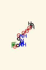 O=C(NCCOCCOCCOC[C@H]1C[C@H]2C=C[C@@H]1C2)c1cccc(-c2cc(Nc3ccc(OC(F)(F)F)cc3)ncn2)c1